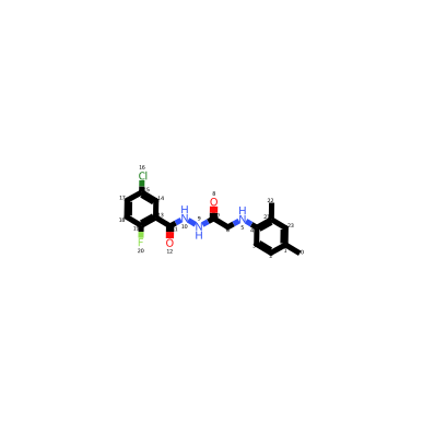 Cc1ccc(NCC(=O)NNC(=O)c2cc(Cl)ccc2F)c(C)c1